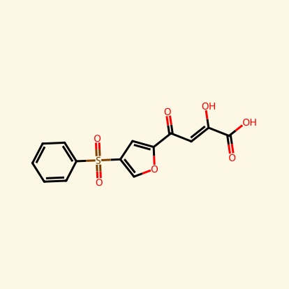 O=C(O)/C(O)=C/C(=O)c1cc(S(=O)(=O)c2ccccc2)co1